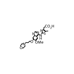 COc1cc2c(Nc3nc(CC(=O)O)c(C)s3)ncnc2cc1OCCCN1CCOCC1